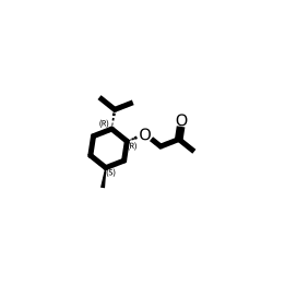 CC(=O)CO[C@@H]1C[C@@H](C)CC[C@@H]1C(C)C